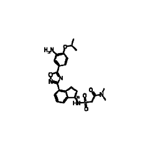 CC(C)Oc1ccc(-c2nc(-c3cccc4c3CC[C@H]4NS(=O)(=O)CC(=O)N(C)C)no2)cc1N